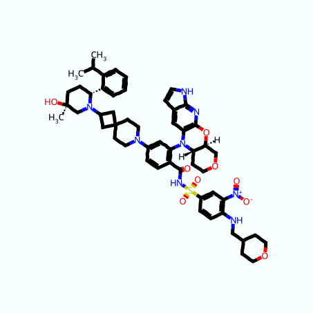 CC(C)c1ccccc1[C@H]1CC[C@](C)(O)CN1C1CC2(CCN(c3ccc(C(=O)NS(=O)(=O)c4ccc(NCC5CCOCC5)c([N+](=O)[O-])c4)c(N4c5cc6cc[nH]c6nc5O[C@H]5COCC[C@@H]54)c3)CC2)C1